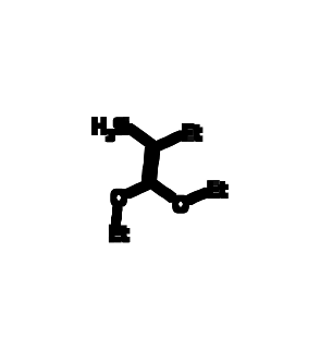 CCOC(OCC)=C([SiH3])CC